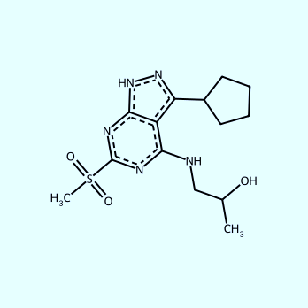 CC(O)CNc1nc(S(C)(=O)=O)nc2[nH]nc(C3CCCC3)c12